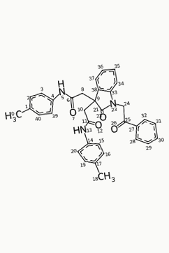 Cc1ccc(NC(=O)CC2(CC(=O)Nc3ccc(C)cc3)C(=O)N(CC(=O)c3ccccc3)c3ccccc32)cc1